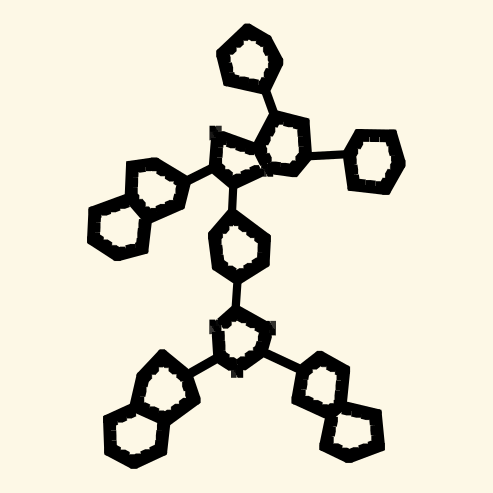 c1ccc(-c2cc(-c3ccccc3)c3nc(-c4ccc5ccccc5c4)c(-c4ccc(-c5nc(-c6ccc7ccccc7c6)nc(-c6ccc7ccccc7c6)n5)cc4)n3c2)cc1